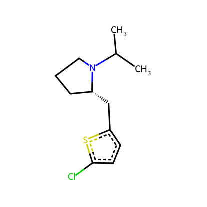 CC(C)N1CCC[C@H]1Cc1ccc(Cl)s1